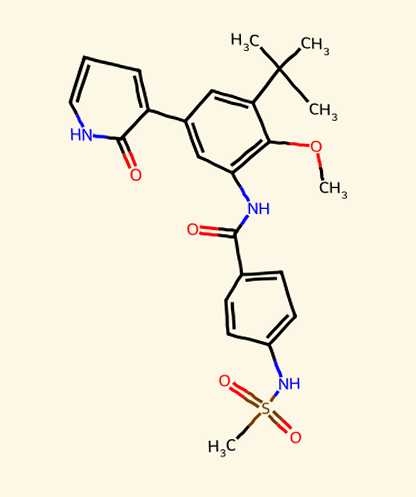 COc1c(NC(=O)c2ccc(NS(C)(=O)=O)cc2)cc(-c2ccc[nH]c2=O)cc1C(C)(C)C